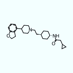 O=C(CC1CC1)N[C@H]1CC[C@H](CCN2CCC(c3cccc4c3CCO4)CC2)CC1